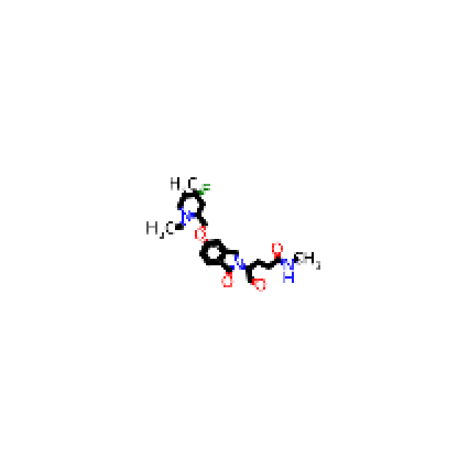 CCN1CCC(C)(F)CC1COc1ccc2c(c1)CN(C(C=O)CCC(=O)NC)C2=O